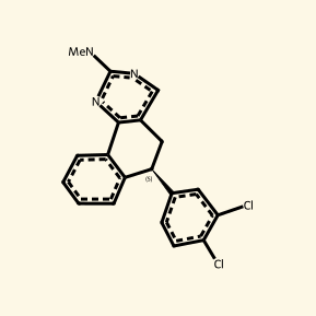 CNc1ncc2c(n1)-c1ccccc1[C@H](c1ccc(Cl)c(Cl)c1)C2